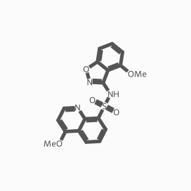 COc1ccnc2c(S(=O)(=O)Nc3noc4cccc(OC)c34)cccc12